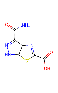 NC(=O)C1=NNC2SC(C(=O)O)=NC12